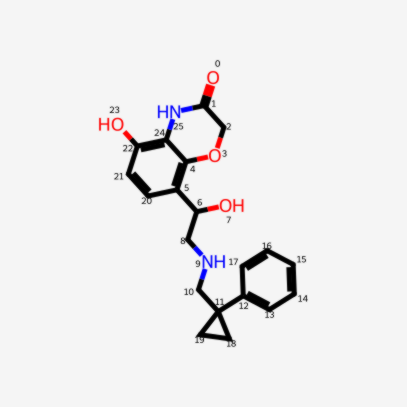 O=C1COc2c(C(O)CNCC3(c4ccccc4)CC3)ccc(O)c2N1